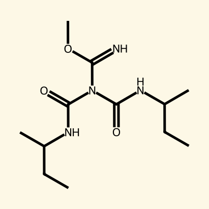 CCC(C)NC(=O)N(C(=N)OC)C(=O)NC(C)CC